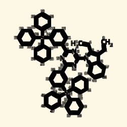 C=Cc1c(C=C)n(-c2nc(-c3cccc(S(c4ccccc4)(c4ccccc4)c4ccccc4)c3)nc(-c3cccc(S(c4ccccc4)(c4ccccc4)c4ccccc4)c3)n2)c2ccccc12